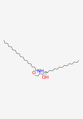 CCCCCCCCCCCCC/C=C/C(O)C(CC)NC(=O)CCCCCCCCCCCCCCCCC